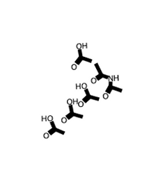 CC(=O)NC(C)=O.CC(=O)O.CC(=O)O.CC(=O)O.CC(=O)O